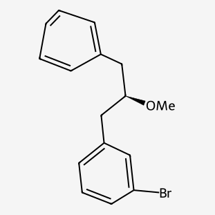 CO[C@H](Cc1ccccc1)Cc1cccc(Br)c1